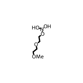 COCCOCCON(O)O